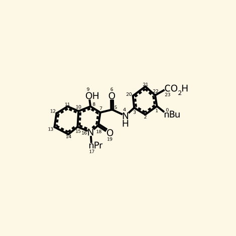 CCCCc1cc(NC(=O)c2c(O)c3ccccc3n(CCC)c2=O)ccc1C(=O)O